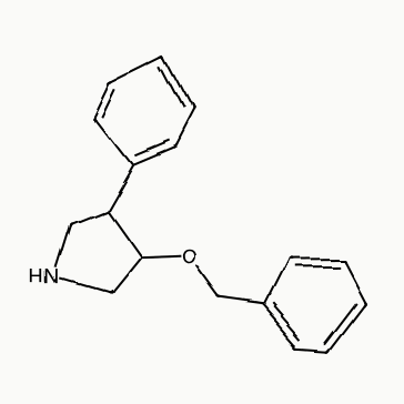 c1ccc(COC2CNCC2c2ccccc2)cc1